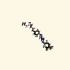 C/C=C/CCc1ccc(/C=N/N=C/c2ccc(F)cc2)cc1